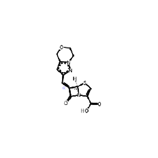 O=C(O)C1=CS[C@@H]2/C(=C\c3cc4n(n3)CCOC4)C(=O)N12